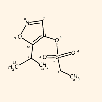 CCS(=O)(=O)Oc1cnoc1C(C)C